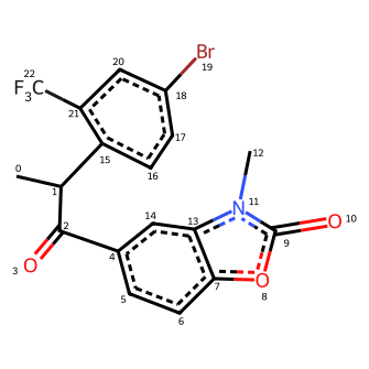 CC(C(=O)c1ccc2oc(=O)n(C)c2c1)c1ccc(Br)cc1C(F)(F)F